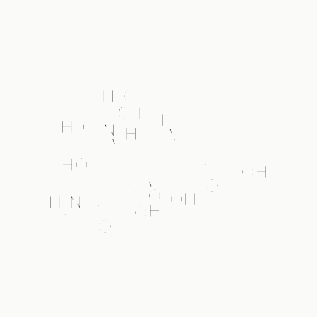 CI.CN(C)[C@@H]1C(O)=C(C(N)=O)C(=O)[C@@]2(O)C(O)=C3C(=O)c4c(O)cccc4C[C@H]3C[C@H]12